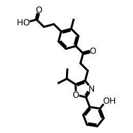 Cc1cc(C(=O)CCc2nc(-c3ccccc3O)oc2C(C)C)ccc1CCC(=O)O